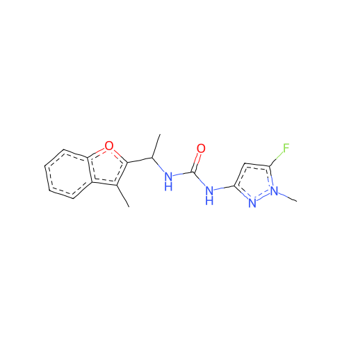 Cc1c(C(C)NC(=O)Nc2cc(F)n(C)n2)oc2ccccc12